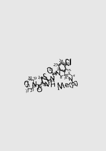 COC(=O)N1CCC2(C1)CN(C(=O)Nc1nc(C(=O)N3CCOCC3)cs1)c1ccc(Cl)cc12